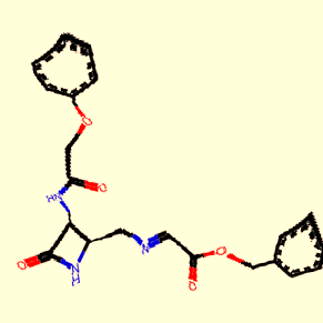 O=C(COc1ccccc1)N[C@@H]1C(=O)N[C@@H]1CN=CC(=O)OCc1ccccc1